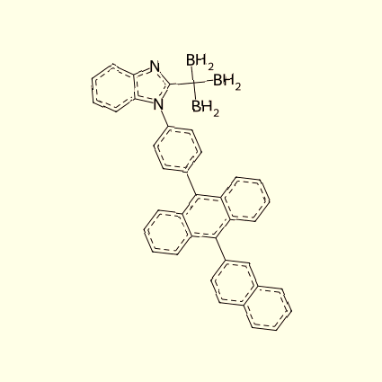 BC(B)(B)c1nc2ccccc2n1-c1ccc(-c2c3ccccc3c(-c3ccc4ccccc4c3)c3ccccc23)cc1